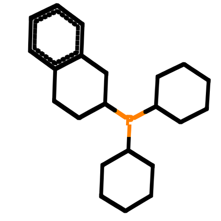 c1ccc2c(c1)CCC(P(C1CCCCC1)C1CCCCC1)C2